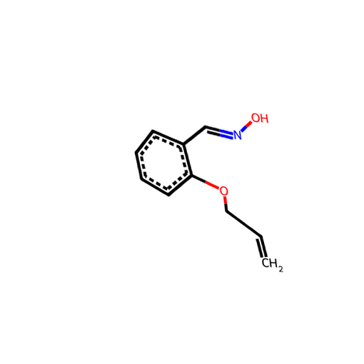 C=CCOc1ccccc1/C=N/O